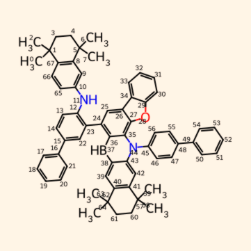 CC1(C)CCC(C)(C)c2cc(Nc3ccc(-c4ccccc4)cc3-c3cc4c(oc5ccccc54)c4c3Bc3cc5c(cc3N4c3ccc(-c4ccccc4)cc3)C(C)(C)CCC5(C)C)ccc21